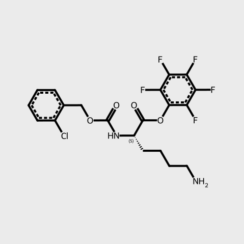 NCCCC[C@H](NC(=O)OCc1ccccc1Cl)C(=O)Oc1c(F)c(F)c(F)c(F)c1F